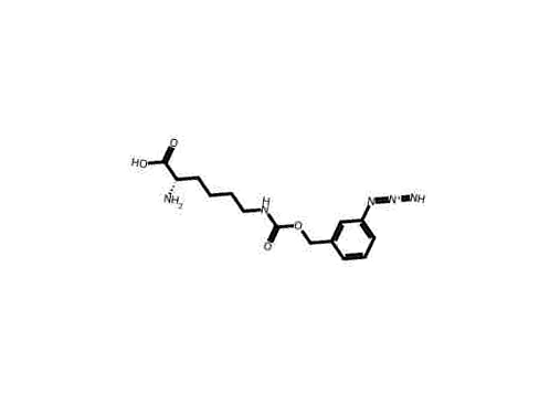 N=[N+]=Nc1cccc(COC(=O)NCCCC[C@H](N)C(=O)O)c1